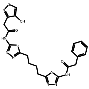 O=C(Cc1ccccc1)Nc1nnc(CCCCc2nnc(NC(=O)Cc3nscc3O)s2)s1